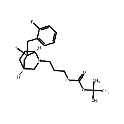 CC(C)(C)OC(=O)NCCCN1C[C@H]2CC[C@@H]1[C@@H](Cc1ccccc1F)C2